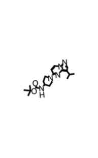 CC(C)c1cnn2ccc(N3CCC(NC(=O)OC(C)(C)C)CC3)nc12